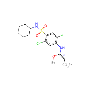 CCOC(=O)/C=C(/Nc1cc(Cl)c(S(=O)(=O)NC2CCCCC2)cc1Cl)OCC